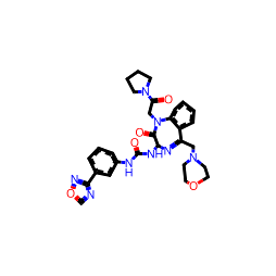 O=C(Nc1cccc(-c2ncon2)c1)NC1N=C(CN2CCOCC2)c2ccccc2N(CC(=O)N2CCCC2)C1=O